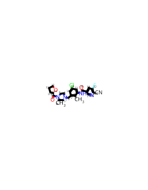 Cc1c(CN2CCN(C(=O)[C@H]3CCCO3)[C@@H](C)C2)cc(Cl)cc1NC(=O)c1cnc(C#N)c(F)c1